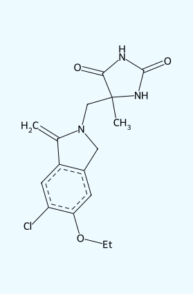 C=C1c2cc(Cl)c(OCC)cc2CN1CC1(C)NC(=O)NC1=O